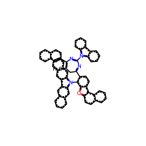 CC1=C(c2ccc3ccccc3c2)N=C(n2c3ccccc3c3ccccc32)N=C(c2ccc3c(oc4ccc5ccccc5c43)c2-n2c3cc4ccccc4cc3c3cc4ccccc4cc32)C1